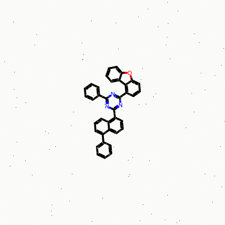 c1ccc(-c2nc(-c3cccc4c(-c5ccccc5)cccc34)nc(-c3cccc4oc5ccccc5c34)n2)cc1